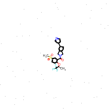 C[C@H](Oc1ccc(S(C)(=O)=O)cc1C(=O)N1Cc2ccc(-c3ccncc3)cc2C1)C(F)(F)F